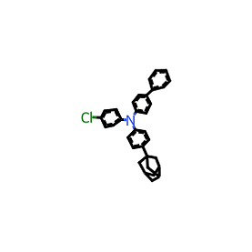 Clc1ccc(N(c2ccc(-c3ccccc3)cc2)c2ccc(C34CC5CC(C3)C(C5)C4)cc2)cc1